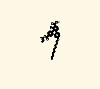 CCCCCCCCCCOc1ccc(-c2ccc(C(=O)O)c(F)c2-c2ccc(C(=O)O[C@H](C)CC)cc2)cc1